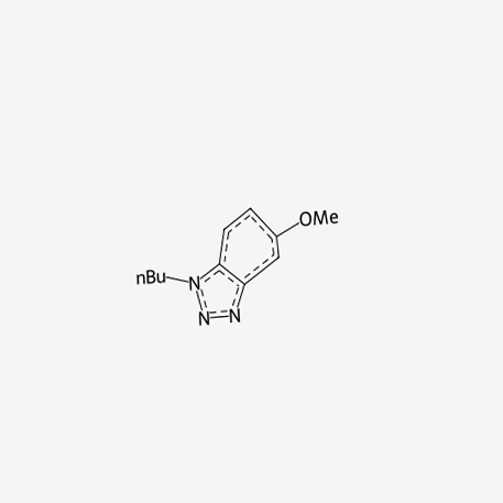 CCCCn1nnc2cc(OC)ccc21